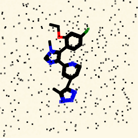 CCOc1cc(F)ccc1-c1c(-c2cc(-c3nn[nH]c3C)ccn2)ncn1C